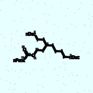 CCCCCCCCCCCCCCC(CCCCCCCCCCCC)CCOC(=O)CCCCC